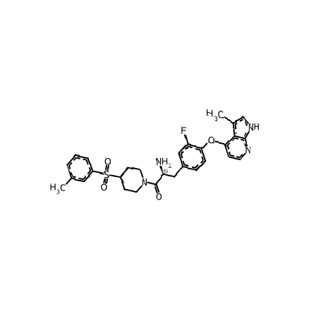 Cc1cccc(S(=O)(=O)C2CCN(C(=O)[C@@H](N)Cc3ccc(Oc4ccnc5[nH]cc(C)c45)c(F)c3)CC2)c1